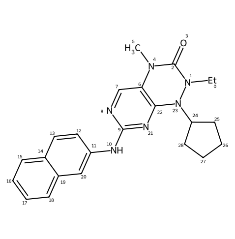 CCN1C(=O)N(C)c2cnc(Nc3ccc4ccccc4c3)nc2N1C1CCCC1